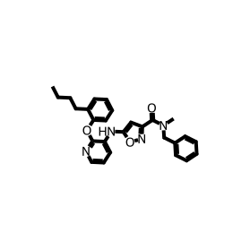 CCCCc1ccccc1Oc1ncccc1Nc1cc(C(=O)N(C)Cc2ccccc2)no1